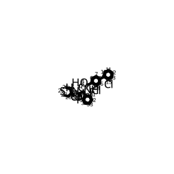 C[C@@](NC(=O)c1ccc(-c2ccccc2Cl)cc1Cl)(C(=O)NC1(C#N)CCSCC1)c1c(F)cccc1F